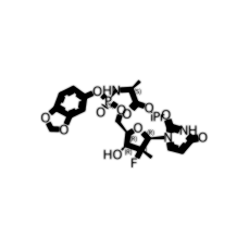 CC(C)OC(=O)[C@H](C)N[P@](=O)(OC[C@H]1O[C@@H](n2ccc(=O)[nH]c2=O)[C@](C)(F)[C@@H]1O)Oc1ccc2c(c1)OCO2